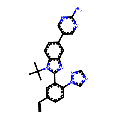 C=Cc1ccc(-n2cncn2)c(-c2nc3cc(-c4cnc(N)nc4)ccc3n2C(C)(C)C)c1